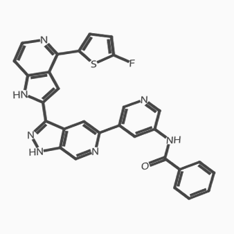 O=C(Nc1cncc(-c2cc3c(-c4cc5c(-c6ccc(F)s6)nccc5[nH]4)n[nH]c3cn2)c1)c1ccccc1